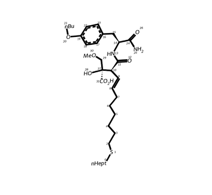 CCCCCCCSCCCCCC/C=C/[C@H](C(=O)N[C@@H](Cc1ccc(OCCCC)cc1)C(N)=O)[C@@](O)(COC)C(=O)O